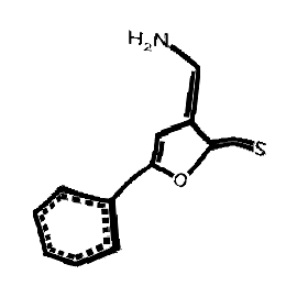 N/C=C1\C=C(c2ccccc2)OC1=S